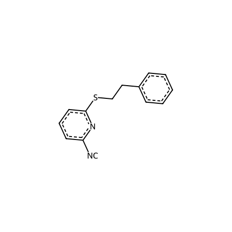 [C-]#[N+]c1cccc(SCCc2ccccc2)n1